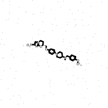 CN(Cc1ccc(OC(F)(F)F)cc1)C1CCN(c2ccc(OC[C@H]3CCn4cc([N+](=O)[O-])nc4O3)cc2)CC1